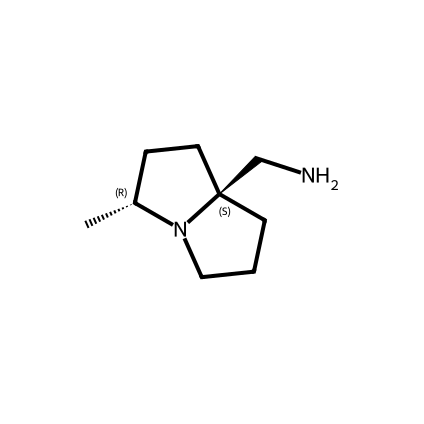 C[C@@H]1CC[C@]2(CN)CCCN12